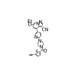 C#Cc1ccc(C(=O)N2CCN(c3ccc(-c4cc(OCC)cn5ncc(C#N)c45)cn3)CC2)s1